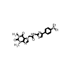 CCN(CC)c1ccc(-c2csc(NC(=O)Cn3cnc4c3c(=O)n(C)c(=O)n4C)n2)cc1